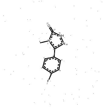 Cn1c(-c2ccc(F)cc2)n[nH]c1=O